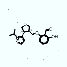 CC(C)n1nccc1[C@H]1COC[C@H]1COc1cccc(O)c1C=O